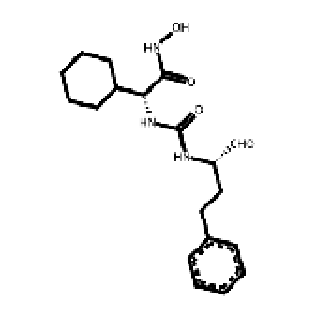 O=C[C@H](CCc1ccccc1)NC(=O)N[C@@H](C(=O)NO)C1CCCCC1